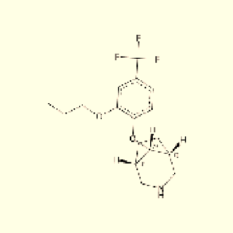 CCCOc1cc(C(F)(F)F)ccc1O[C@@H]1[C@@H]2CC[C@H]1CNC2